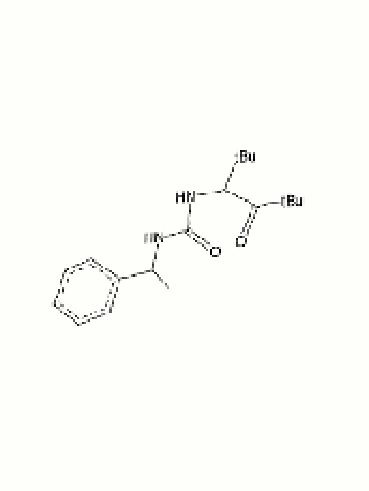 CC(NC(=O)NC(C(=O)C(C)(C)C)C(C)(C)C)c1ccccc1